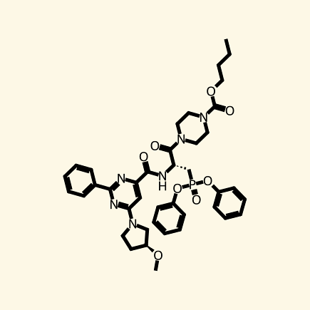 CCCCOC(=O)N1CCN(C(=O)[C@H](CP(=O)(Oc2ccccc2)Oc2ccccc2)NC(=O)c2cc(N3CC[C@H](OC)C3)nc(-c3ccccc3)n2)CC1